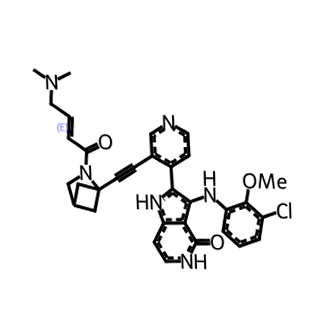 COc1c(Cl)cccc1Nc1c(-c2ccncc2C#CC23CC(CN2C(=O)/C=C/CN(C)C)C3)[nH]c2cc[nH]c(=O)c12